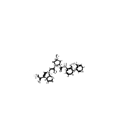 NC(=O)C1=CN(CC(=O)N2C[C@H](F)C[C@H]2C(=O)Nc2cccc(-c3ccccc3Cl)c2F)C2SC=CC12